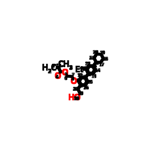 C=C(C)C(=O)OCCOc1cc(-c2ccc(C3CCCCC3)cc2CC)ccc1CCO